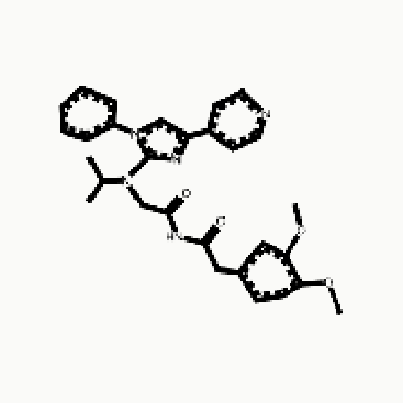 COc1ccc(CC(=O)NC(=O)CN(c2nc(-c3ccncc3)cn2-c2ccccc2)C(C)C)cc1OC